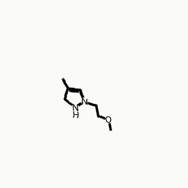 COCCN1C=C(C)CN1